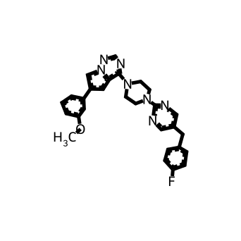 COc1cccc(-c2cc3c(N4CCN(c5ncc(Cc6ccc(F)cc6)cn5)CC4)ncnn3c2)c1